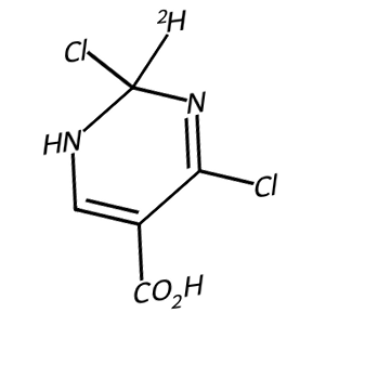 [2H]C1(Cl)N=C(Cl)C(C(=O)O)=CN1